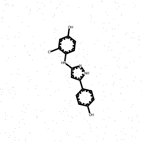 Oc1ccc(-c2cc(Nc3ccc(O)cc3Cl)n[nH]2)cc1